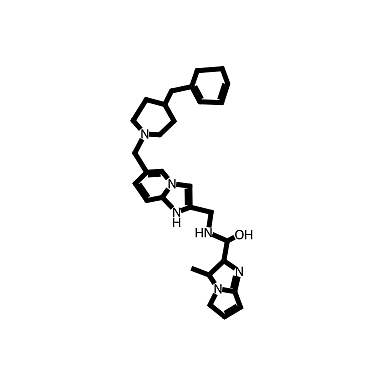 CC1C(C(O)NCC2=CN3C=C(CN4CCC(CC5=CC=CCC5)CC4)C=CC3N2)N=C2C=CCN21